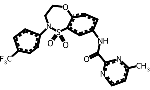 Cc1ccnc(C(=O)Nc2ccc3c(c2)S(=O)(=O)N(c2ccc(C(F)(F)F)cc2)CCO3)n1